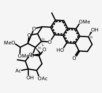 COc1c2c(c(O)c3c4c(c(C)cc13)C1OC3(C(OC)OC)OC1[C@@](OC1CC(OC(C)=O)C(O)(C(C)=O)C(C)O1)(O4)[C@@]31CO1)C(=O)CC[C@@H]2O